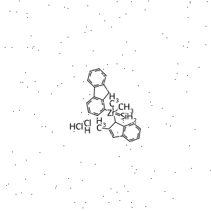 CC1=Cc2ccccc2[CH]1[Zr]([CH3])([CH3])(=[SiH2])[c]1cccc2c1Cc1ccccc1-2.Cl.Cl